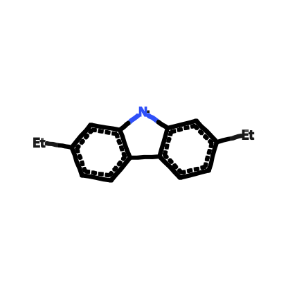 CCc1ccc2c(c1)[N]c1cc(CC)ccc1-2